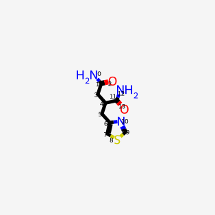 NC(=O)CC(Cc1cscn1)C(N)=O